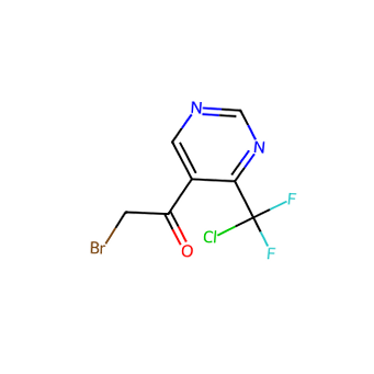 O=C(CBr)c1cncnc1C(F)(F)Cl